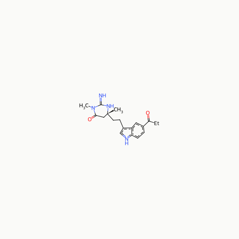 CCC(=O)c1ccc2[nH]cc(CC[C@]3(C)CC(=O)N(C)C(=N)N3)c2c1